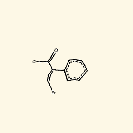 CC/C=C(/C([O])=O)c1ccccc1